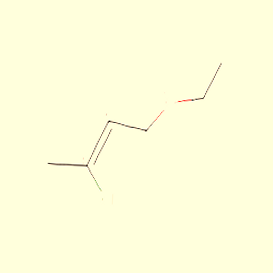 C[CH]OCC=C(C)Cl